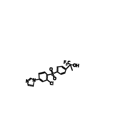 CC(O)(c1ccc(S(=O)(=O)c2ccc(-n3ccnc3)cc2Cl)cc1)C(F)(F)F